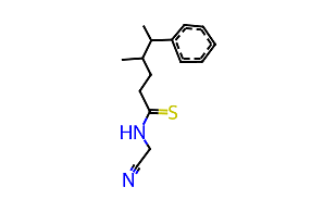 CC(CCC(=S)NCC#N)C(C)c1ccccc1